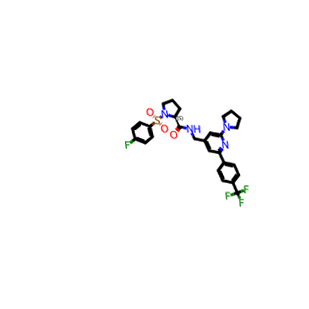 O=C(NCc1cc(-c2ccc(C(F)(F)F)cc2)nc(N2CCCC2)c1)[C@@H]1CCCN1S(=O)(=O)c1ccc(F)cc1